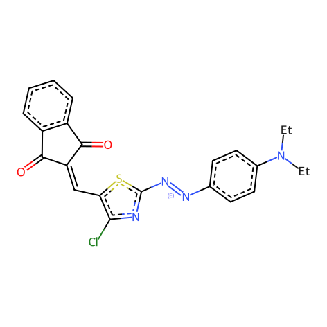 CCN(CC)c1ccc(/N=N/c2nc(Cl)c(C=C3C(=O)c4ccccc4C3=O)s2)cc1